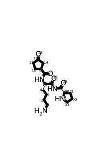 NCCCC[C@H](NC(=O)C1CCC(=O)C1)C(=O)NC(=O)[C@@H]1CCCN1